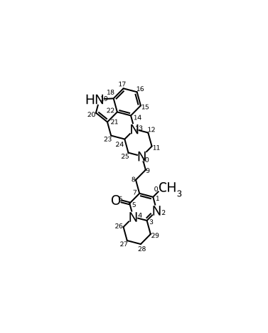 Cc1nc2n(c(=O)c1CCN1CCN3c4cccc5[nH]cc(c45)CC3C1)CCCC2